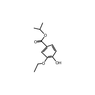 CCOc1cc(C(=O)OC(C)C)ccc1O